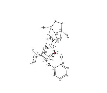 COc1cc(N2C[C@H]3CC[C@@H](C2)[C@H]3Nc2nc(Oc3ccccc3Cl)n(C(C)C)n2)ccn1